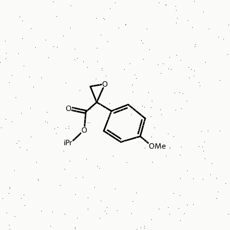 COc1ccc(C2(C(=O)OC(C)C)CO2)cc1